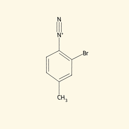 Cc1ccc([N+]#N)c(Br)c1